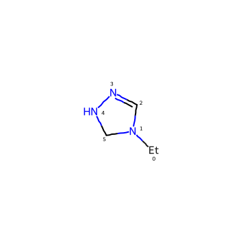 CCN1C=NNC1